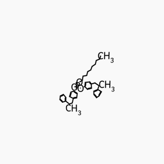 CCCCCCCCCCOP(Oc1ccc(CC(C)c2ccccc2)cc1)Oc1ccc(CC(C)c2ccccc2)cc1